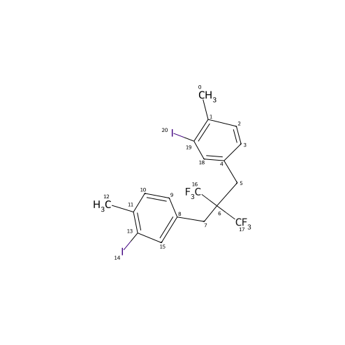 Cc1ccc(CC(Cc2ccc(C)c(I)c2)(C(F)(F)F)C(F)(F)F)cc1I